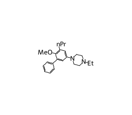 CCCc1cc(N2CCN(CC)CC2)cc(-c2ccccc2)c1OC